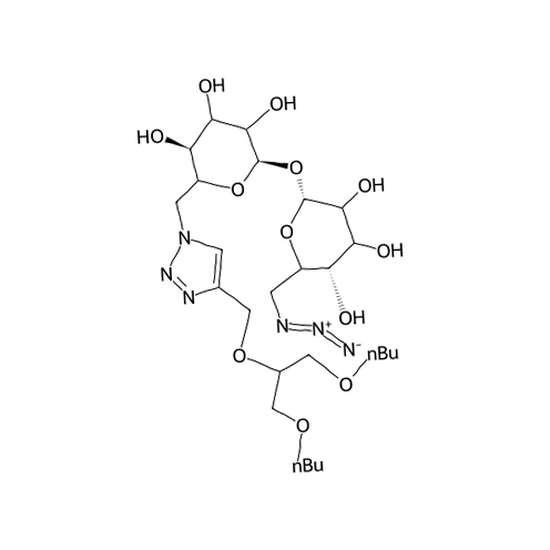 CCCCOCC(COCCCC)OCc1cn(CC2O[C@H](O[C@H]3OC(CN=[N+]=[N-])[C@@H](O)C(O)C3O)C(O)C(O)[C@@H]2O)nn1